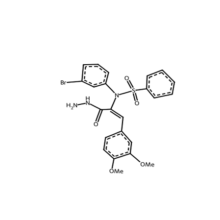 COc1ccc(C=C(C(=O)NN)N(c2cccc(Br)c2)S(=O)(=O)c2ccccc2)cc1OC